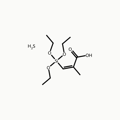 CCO[Si](C=C(C)C(=O)O)(OCC)OCC.S